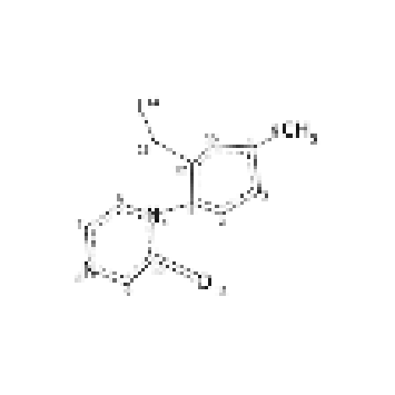 Cc1ccc(-n2ccncc2=O)c(CI)c1